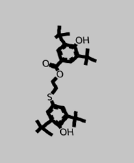 CC(C)(C)c1cc(SCCOC(=O)c2cc(C(C)(C)C)c(O)c(C(C)(C)C)c2)cc(C(C)(C)C)c1O